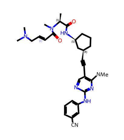 CNc1nc(Nc2cccc(C#N)c2)ncc1C#C[C@@H]1CCC[C@H](NC(=O)[C@H](C)N(C)C(=O)/C=C/CN(C)C)C1